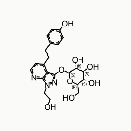 OCCn1nc(O[C@@H]2O[C@H](CO)[C@@H](O)[C@H](O)[C@H]2O)c2c(CCc3ccc(O)cc3)ccnc21